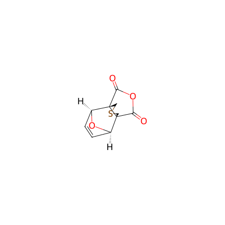 O=C1OC(=O)[C@@]23CSC[C@@]12[C@@H]1C=C[C@H]3O1